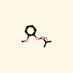 COc1ccccc1O[SiH2]C(C)C